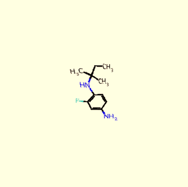 CCC(C)(C)Nc1ccc(N)cc1F